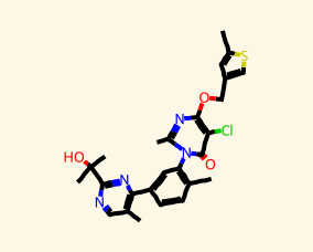 Cc1cc(COc2nc(C)n(-c3cc(-c4nc(C(C)(C)O)ncc4C)ccc3C)c(=O)c2Cl)cs1